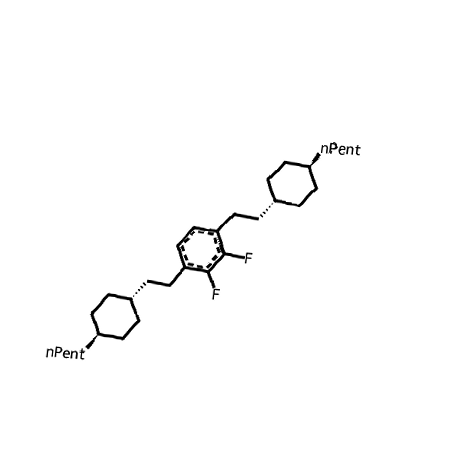 CCCCC[C@H]1CC[C@H](CCc2ccc(CC[C@H]3CC[C@H](CCCCC)CC3)c(F)c2F)CC1